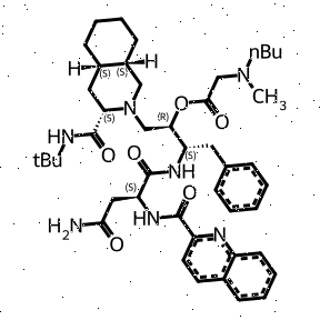 CCCCN(C)CC(=O)O[C@H](CN1C[C@H]2CCCC[C@H]2C[C@H]1C(=O)NC(C)(C)C)[C@H](Cc1ccccc1)NC(=O)[C@H](CC(N)=O)NC(=O)c1ccc2ccccc2n1